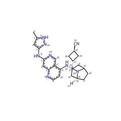 Cc1cc(Nc2cc3nccc(N[C@@H]4CC5CC[C@@H](C4)N5C[C@H]4C[C@H](C#N)C4)c3cn2)n[nH]1